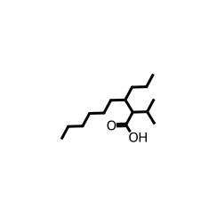 CCCCCCC(CCC)C(C(=O)O)C(C)C